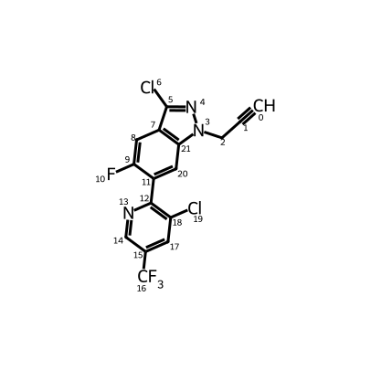 C#CCn1nc(Cl)c2cc(F)c(-c3ncc(C(F)(F)F)cc3Cl)cc21